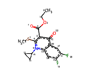 CCOC(=O)c1c(SC)n(C2CC2)c2cc(F)c(F)cc2c1=O